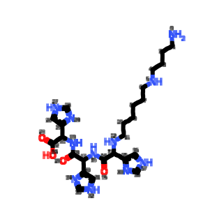 NCCCCNCCCCCCNC(C(=O)NC(C(=O)NC(C(=O)O)c1c[nH]cn1)c1c[nH]cn1)c1c[nH]cn1